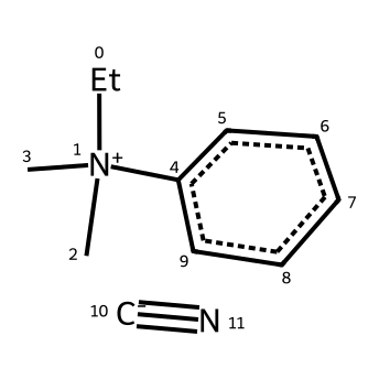 CC[N+](C)(C)c1ccccc1.[C-]#N